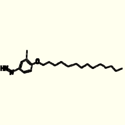 CCCCCCCCCCCCCCOc1ccc(N=N)cc1C